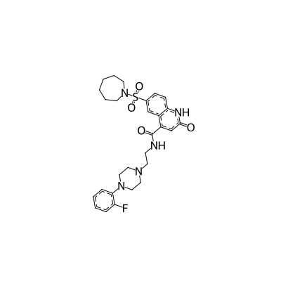 O=C(NCCN1CCN(c2ccccc2F)CC1)c1cc(=O)[nH]c2ccc(S(=O)(=O)N3CCCCCC3)cc12